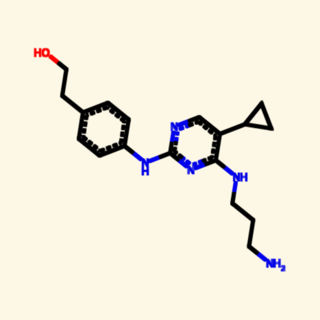 NCCCNc1nc(Nc2ccc(CCO)cc2)ncc1C1CC1